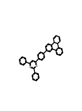 C1=CC2c3ccccc3-c3cc(-c4ccc(-c5cc(-c6ccccc6)nc(-c6ccccc6)n5)cc4)ccc3C2C=C1